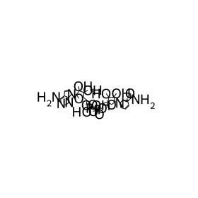 NC(=O)c1ccc[n+](C2OC(COP(=O)(O)OP(=O)(O)OCC3OC(n4ccc5c(N)ncnc54)C(O)C3O)C(O)C2O)c1